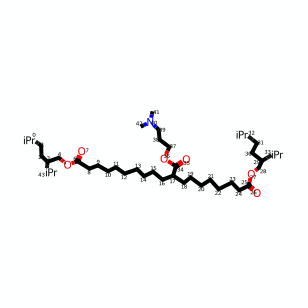 CC(C)CCC(COC(=O)CCCCCCCCCC(CCCCCCCC(=O)OCC(CCC(C)C)C(C)C)C(=O)OCCCN(C)C)C(C)C